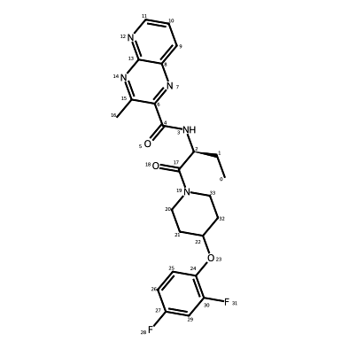 CC[C@H](NC(=O)c1nc2cccnc2nc1C)C(=O)N1CCC(Oc2ccc(F)cc2F)CC1